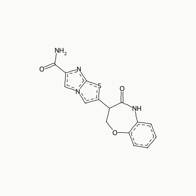 NC(=O)c1cn2cc(C3COc4ccccc4NC3=O)sc2n1